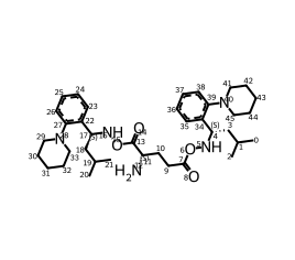 CC(C)C[C@H](NOC(=O)CC[C@H](N)C(=O)ON[C@@H](CC(C)C)c1ccccc1N1CCCCC1)c1ccccc1N1CCCCC1